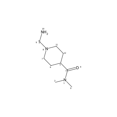 CN(C)C(=O)C1CCN(SN)CC1